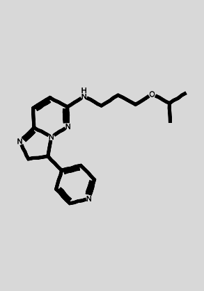 CC(C)OCCCNC1=NN2C(=NCC2c2ccncc2)C=C1